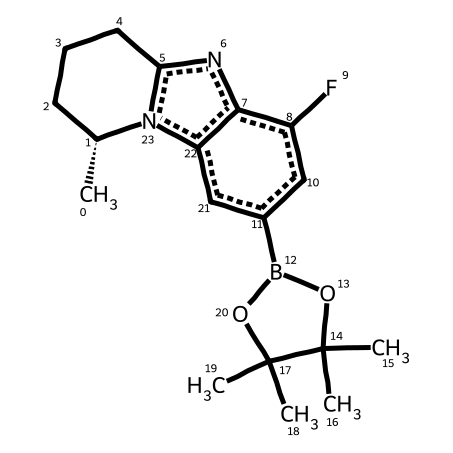 C[C@@H]1CCCc2nc3c(F)cc(B4OC(C)(C)C(C)(C)O4)cc3n21